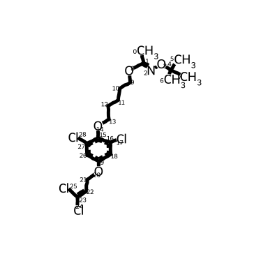 CC(=NOC(C)(C)C)OCCCCCOc1c(Cl)cc(OCC=C(Cl)Cl)cc1Cl